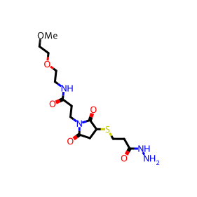 COCCOCCNC(=O)CCN1C(=O)CC(SCCC(=O)NN)C1=O